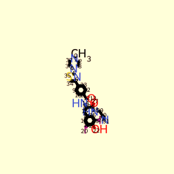 CN1CCN(c2nc(-c3ccc(C(=O)NC(Cc4cc(I)c(O)c(I)c4)C(=O)NCC#N)cc3)cs2)CC1